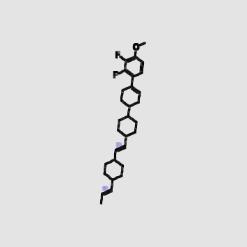 C/C=C/C1CCC(/C=C/C2CCC(C3CC=C(c4ccc(OC)c(F)c4F)CC3)CC2)CC1